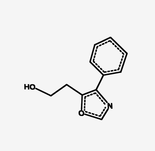 OCCc1ocnc1-c1ccccc1